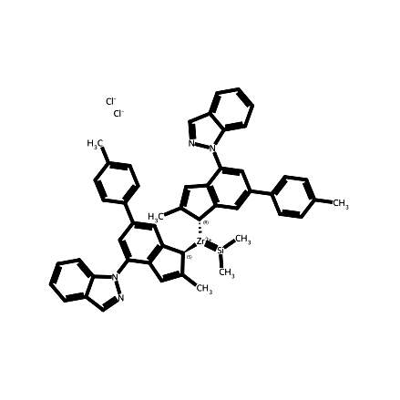 CC1=Cc2c(cc(-c3ccc(C)cc3)cc2-n2ncc3ccccc32)[C@@H]1[Zr+2]([C@H]1C(C)=Cc2c1cc(-c1ccc(C)cc1)cc2-n1ncc2ccccc21)=[Si](C)C.[Cl-].[Cl-]